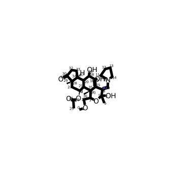 COCC1OC(C)(O)/C(=C/N2CCCC2)C2=C(O)C(O)C3C([C@H](OC(C)=O)C[C@]4(C)C(=O)CC[C@@H]34)[C@]21C